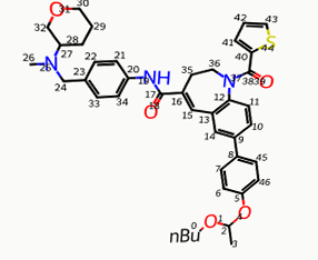 CCCCOC(C)Oc1ccc(-c2ccc3c(c2)C=C(C(=O)Nc2ccc(CN(C)C4CCCOC4)cc2)CCN3C(=O)c2cccs2)cc1